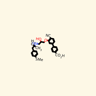 CSc1ccc(CC(C)(C)NCC(O)COc2cc(-c3ccc(C(=O)O)cc3)ccc2C#N)cc1